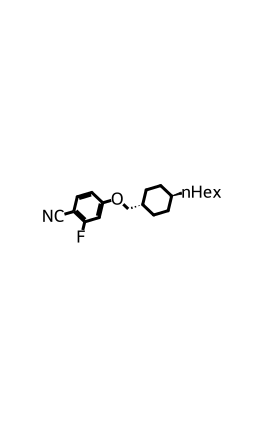 CCCCCC[C@H]1CC[C@H](COc2ccc(C#N)c(F)c2)CC1